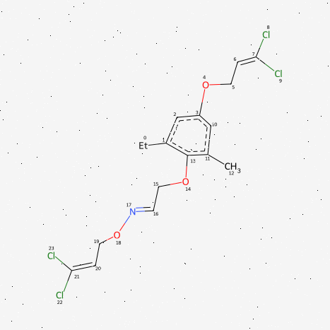 CCc1cc(OCC=C(Cl)Cl)cc(C)c1OCC=NOCC=C(Cl)Cl